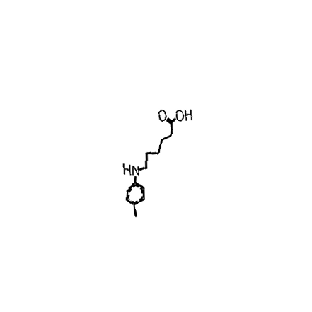 Cc1ccc(NCCCCCC(=O)O)cc1